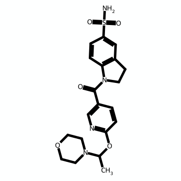 CC(Oc1ccc(C(=O)N2CCc3cc(S(N)(=O)=O)ccc32)cn1)N1CCOCC1